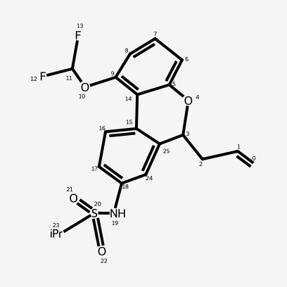 C=CCC1Oc2cccc(OC(F)F)c2-c2ccc(NS(=O)(=O)C(C)C)cc21